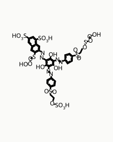 O=S(=O)(O)OCCS(=O)(=O)c1ccc(/N=N/c2c(O)c(/N=N/c3ccc(S(=O)(=O)CCOSOOO)cc3)c(O)c(/N=N/c3cc4c(S(=O)(=O)O)cc(S(=O)(=O)O)cc4cc3SOOO)c2O)cc1